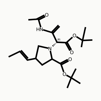 C=C(NC(C)=O)[C@H](C(=O)OC(C)(C)C)N1CC(C=CC)CC1C(=O)OC(C)(C)C